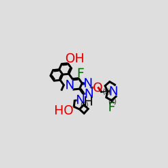 CCc1cccc2cc(O)cc(-c3ncc4c(N5CC(O)C6CC[C@@H]65)nc(OC[C@@]56CCCN5C[C@H](F)C6)nc4c3F)c12